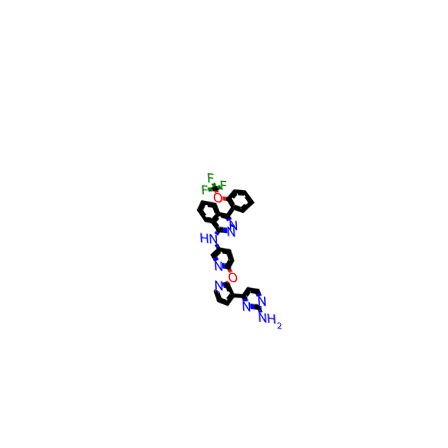 Nc1nccc(-c2cccnc2Oc2ccc(Nc3nnc(-c4ccccc4OC(F)(F)F)c4ccccc34)cn2)n1